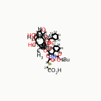 CC(=O)O[C@@]12CO[C@@H]1C[C@H](O)[C@@]1(C)C(=O)[C@H](O)C3[C@H](C)[C@@H](OC(=O)[C@H](OC(=O)CSCC(=O)O)[C@@H](NC(=O)OC(C)(C)C)c4ccccc4)C[C@@](O)([C@@H](OC(=O)c4ccccc4)[C@H]21)C3(C)C